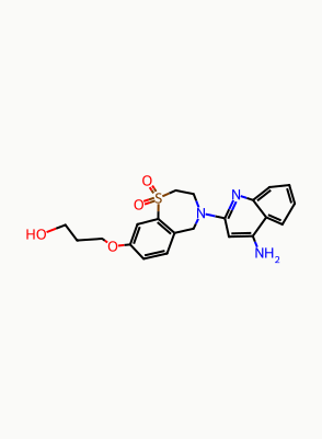 Nc1cc(N2CCS(=O)(=O)c3cc(OCCCO)ccc3C2)nc2ccccc12